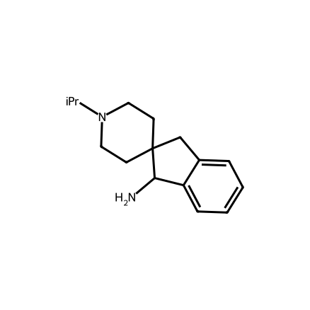 CC(C)N1CCC2(CC1)Cc1ccccc1C2N